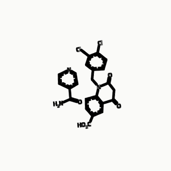 NC(=O)c1ccncc1.O=C(O)c1ccc2c(c1)C(=O)CC(=O)N2Cc1ccc(Cl)c(Cl)c1